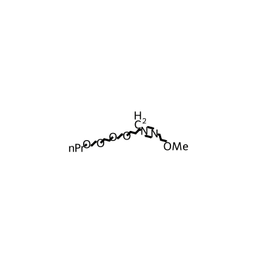 C=C(CCOCCOCCOCCOCCC)N1CCN(CCCOC)CC1